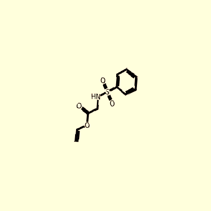 C=COC(=O)CNS(=O)(=O)c1ccccc1